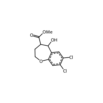 COC(=O)C1CCOc2cc(Cl)c(Cl)cc2C1O